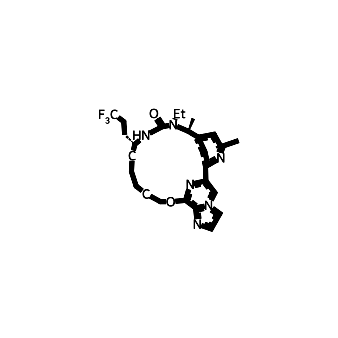 CCN1C(=O)N[C@@H](CCC(F)(F)F)CCCCCOc2nc(cn3ccnc23)-c2cc(cc(C)n2)[C@@H]1C